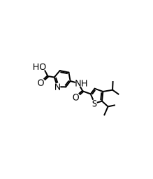 CC(C)c1cc(C(=O)Nc2ccc(C(=O)O)nc2)sc1C(C)C